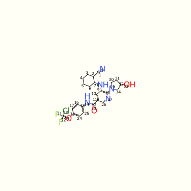 N#CC1CCCCC1Nc1cc(C(=O)Nc2ccc(OC(F)(F)Cl)cc2)cnc1N1CC[C@@H](O)C1